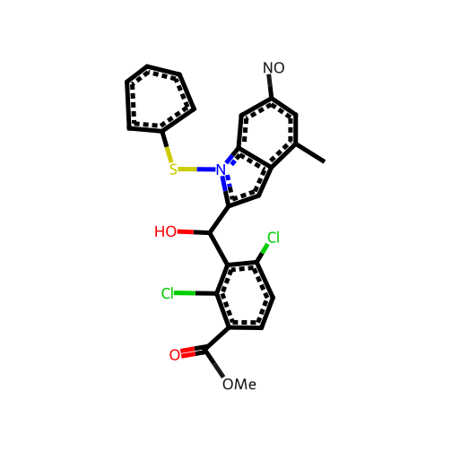 COC(=O)c1ccc(Cl)c(C(O)c2cc3c(C)cc(N=O)cc3n2Sc2ccccc2)c1Cl